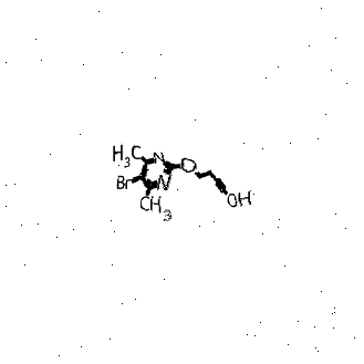 Cc1nc(OCCC#CO)nc(C)c1Br